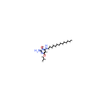 CCCCCCCCCCCCCCNc1cc(OCCC)nc(N)[n+]1[O-]